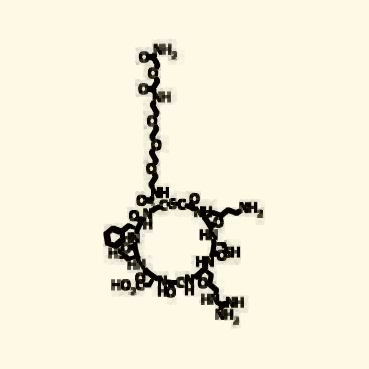 N=C(N)NCCC[C@@H]1NC(=O)[C@H](CS)NC(=O)[C@H](CCCCN)NC(=O)CSC[C@@H](C(=O)NCCOCCOCCOCCNC(=O)COCC(N)=O)NC(=O)[C@H](Cc2ccccc2)NC(=O)[C@H](CS)NC(=O)[C@H](CC(=O)O)NC(=O)CNC1=O